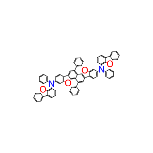 c1ccc(-c2cc3c4ccc(N(c5ccccc5)c5cccc6c5oc5ccccc56)cc4oc3c3c(-c4ccccc4)cc4c5ccc(N(c6ccccc6)c6cccc7c6oc6ccccc67)cc5oc4c23)cc1